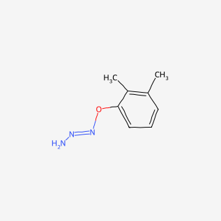 Cc1cccc(ON=NN)c1C